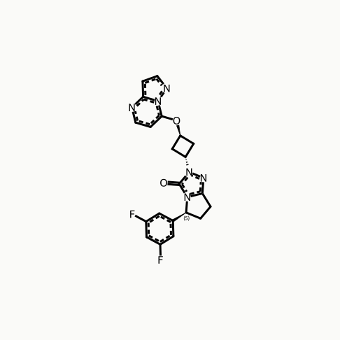 O=c1n2c(nn1[C@H]1C[C@H](Oc3ccnc4ccnn34)C1)CC[C@H]2c1cc(F)cc(F)c1